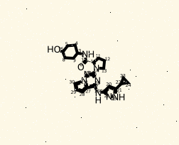 O=C(NC1CCC(O)CC1)[C@@H]1CCCN1c1nc(Nc2cc(C3CC3)[nH]n2)c2cccn2n1